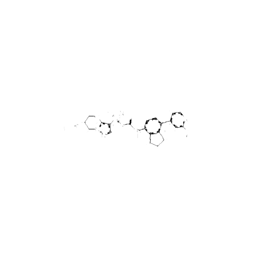 COc1cc(-c2ccc(NC(=O)N=[S@](N)(=O)c3cnn4c3OC[C@@H](OC)C4)c3c2CCC3)ccn1